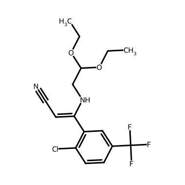 CCOC(CN/C(=C\C#N)c1cc(C(F)(F)F)ccc1Cl)OCC